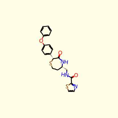 O=C(NC[C@@H]1CCS[C@H](c2ccc(Oc3ccccc3)cc2)C(=O)N1)c1nccs1